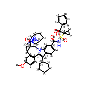 COc1ccc2c(c1)C1CC1(C(=O)N1C3CCC1CN(C)C3)Cn1c-2c(C2CCCCC2)c2ccc(C(=O)NS(=O)(=O)C3(C(=O)c4ccccc4)CC3)cc21